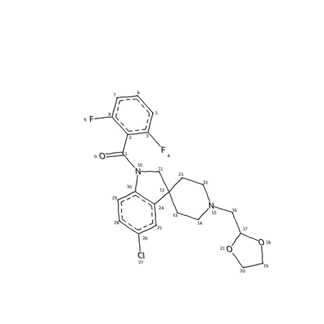 O=C(c1c(F)cccc1F)N1CC2(CCN(CC3OCCO3)CC2)c2cc(Cl)ccc21